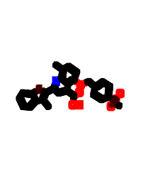 Cc1c(-c2cc(C(=O)O)c3c(OCc4ccc(S(C)(=O)=O)cc4)ccc(C)c3n2)sc2ccccc12